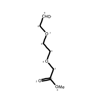 COC(=O)COCCOC[C]=O